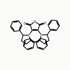 O=C1OC(=O)C(P2C(c3ccccc3)CCC2c2ccccc2)=C1P1C(c2ccccc2)CCC1c1ccccc1